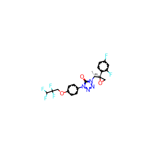 C[C@@H](n1nnn(-c2ccc(OCC(F)(F)C(F)F)cc2)c1=O)[C@]1(c2ccc(F)cc2F)CO1